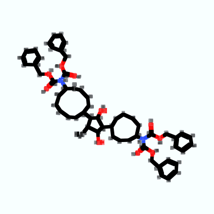 CC1C(O)C(C2CCCCC(N(C(=O)OCc3ccccc3)C(=O)OCc3ccccc3)CCC2)C(O)C1C1CCCCCC(N(C(=O)OCc2ccccc2)C(=O)OCc2ccccc2)CCCC1